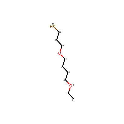 CCOCCCCOCCCS